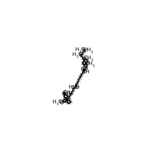 COc1ccc(C(OCCC(O)CCCCCNC(=O)CCCCCCCCCCCNC(=O)O[C@@H]2CC[C@]3(C)C(=CCC4C(CCCC(C)CCCC(C)C)[C@@H](C)CCC43)C2)(c2ccccc2)c2ccc(OC)cc2)cc1